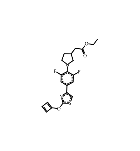 CCOC(=O)CC1CCN(c2c(F)cc(-c3csc(OC4=CC=C4)n3)cc2F)C1